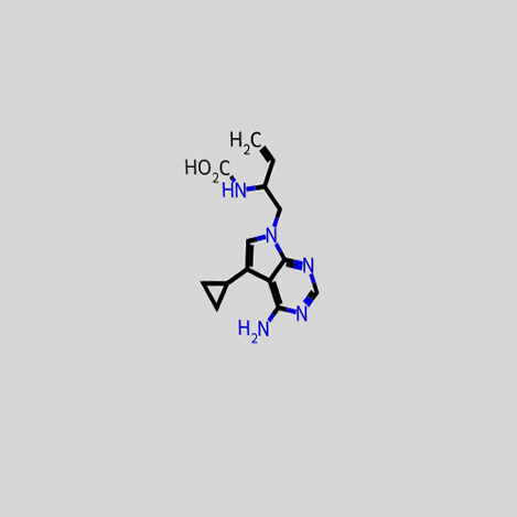 C=CC(Cn1cc(C2CC2)c2c(N)ncnc21)NC(=O)O